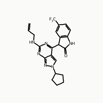 C=CCNc1nc(C2C(=O)Nc3ccc(C(F)(F)F)cc32)c2cn(C3CCCC3)nc2n1